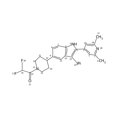 Cc1cc(-c2[nH]c3ccc(C4CCN(C(=O)C(F)F)CC4)cc3c2C(C)C)cc(C)n1